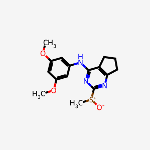 COc1cc(Nc2nc([S+](C)[O-])nc3c2CCC3)cc(OC)c1